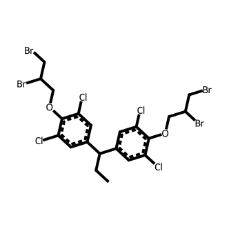 CCC(c1cc(Cl)c(OCC(Br)CBr)c(Cl)c1)c1cc(Cl)c(OCC(Br)CBr)c(Cl)c1